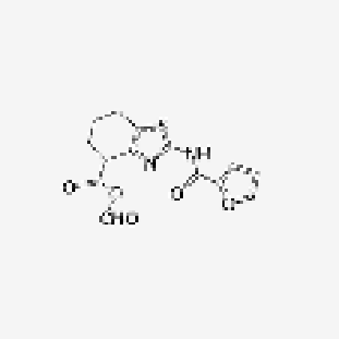 O=COC(=O)C1CCCc2sc(NC(=O)c3ccco3)nc21